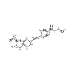 COCCNc1ncc(C#Cc2ccc(CC(C)NC(C)=O)cc2)cn1